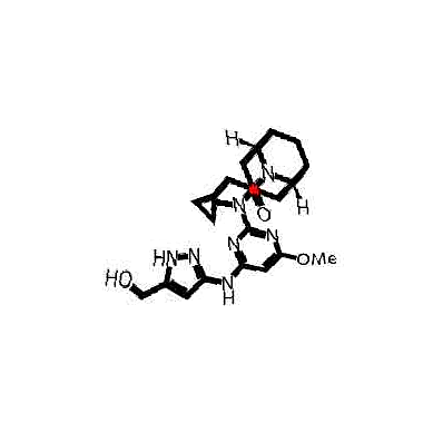 COc1cc(Nc2cc(CO)[nH]n2)nc(N(C)C2C[C@H]3CCC[C@@H](C2)N3C(=O)CC2CC2)n1